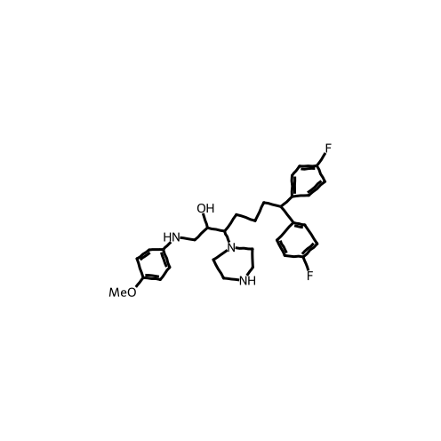 COc1ccc(NCC(O)C(CCCC(c2ccc(F)cc2)c2ccc(F)cc2)N2CCNCC2)cc1